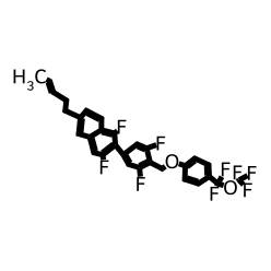 C/C=C/CCc1ccc2c(F)c(-c3cc(F)c(COc4ccc(C(F)(F)OC(F)(F)F)cc4)c(F)c3)c(F)cc2c1